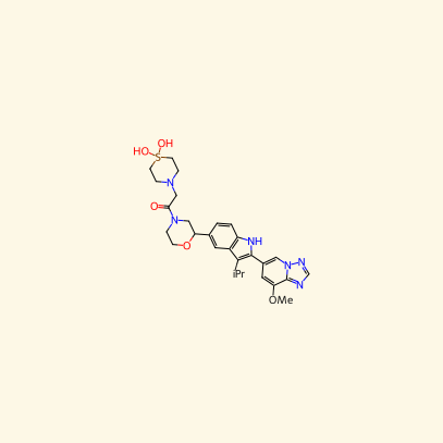 COc1cc(-c2[nH]c3ccc(C4CN(C(=O)CN5CCS(O)(O)CC5)CCO4)cc3c2C(C)C)cn2ncnc12